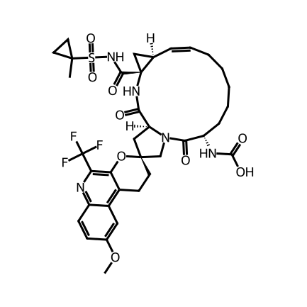 COc1ccc2nc(C(F)(F)F)c3c(c2c1)CC[C@]1(C[C@H]2C(=O)N[C@]4(C(=O)NS(=O)(=O)C5(C)CC5)C[C@H]4C=CCCCCC[C@H](NC(=O)O)C(=O)N2C1)O3